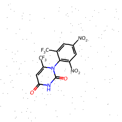 O=c1cc(C(F)(F)F)n(-c2c([N+](=O)[O-])cc([N+](=O)[O-])cc2C(F)(F)F)c(=O)[nH]1